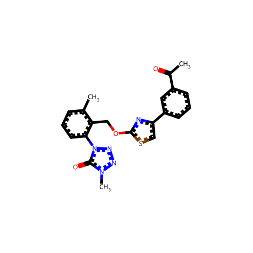 CC(=O)c1cccc(-c2csc(OCc3c(C)cccc3-n3nnn(C)c3=O)n2)c1